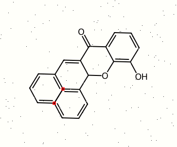 O=C1/C(=C/c2ccccc2)C(c2ccccc2)Oc2c(O)cccc21